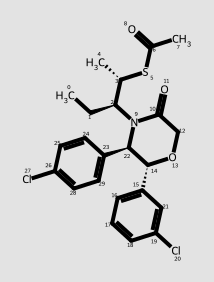 CC[C@@H]([C@H](C)SC(C)=O)N1C(=O)CO[C@H](c2cccc(Cl)c2)[C@H]1c1ccc(Cl)cc1